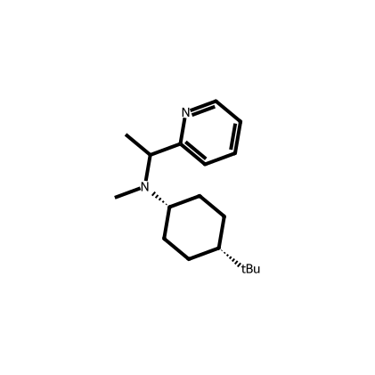 CC(c1ccccn1)N(C)[C@H]1CC[C@@H](C(C)(C)C)CC1